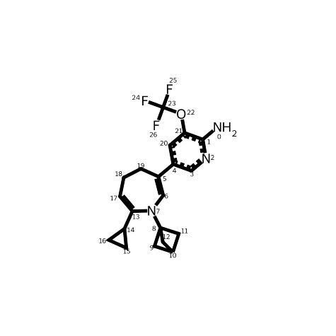 Nc1ncc(C2=CN(C34CC(C3)C4)C(C3CC3)=CCC2)cc1OC(F)(F)F